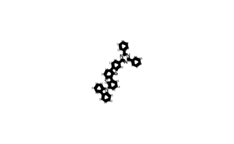 c1ccc(-c2nc(-c3ccccc3)nc(-c3ccc4c(c3)sc3c4ccc4sc5c(-n6c7ccccc7c7ccccc76)cccc5c43)n2)cc1